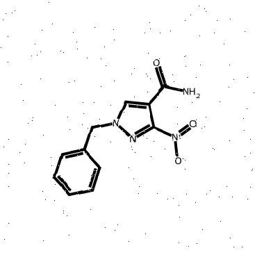 NC(=O)c1cn(Cc2ccccc2)nc1[N+](=O)[O-]